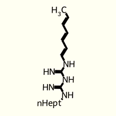 C/C=C/C=C/C=C/NC(=N)NC(=N)NCCCCCCC